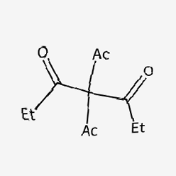 CCC(=O)C(C(C)=O)(C(C)=O)C(=O)CC